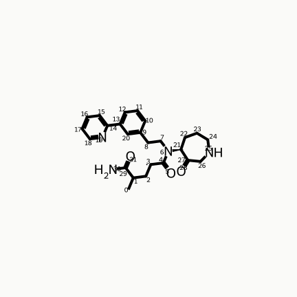 CC(C[CH]C(=O)N(CCc1cccc(-c2ccccn2)c1)[C@H]1CCCNCC1=O)C(N)=O